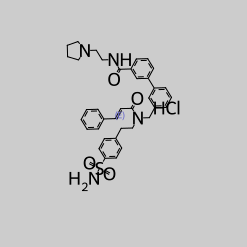 Cl.NS(=O)(=O)c1ccc(CCN(Cc2cccc(-c3cccc(C(=O)NCCN4CCCC4)c3)c2)C(=O)/C=C/c2ccccc2)cc1